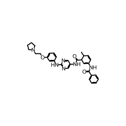 CC1C=CC(NC(=O)c2ccccc2)=CC1C(=O)Nc1cnc(Nc2cccc(OCCN3CCCC3)c2)nc1